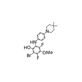 COc1c(F)c(Br)c(O)c(Nc2ccc(N3CCC(C)(C)CC3)cc2)c1F